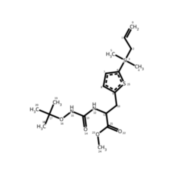 C=CC[Si](C)(C)c1ccc(CC(NC(=O)NOC(C)(C)C)C(=O)OC)s1